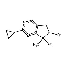 CC(C)N1Cc2cnc(C3CC3)nc2C1(C)C